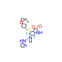 COc1ccc(CSc2c(F)c(NCCNc3ccccn3)c(F)c3[nH]cc(C=O)c(=O)c23)cc1